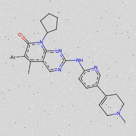 CC(=O)c1c(C)c2cnc(Nc3ccc(C4=CCN(C)CC4)cn3)nc2n(C2CCCC2)c1=O